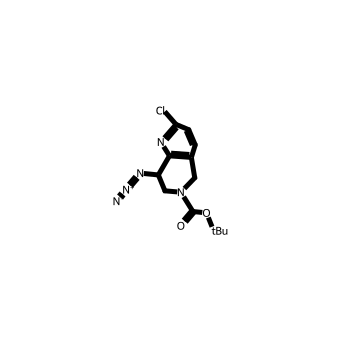 CC(C)(C)OC(=O)N1Cc2ccc(Cl)nc2C(N=[N+]=[N-])C1